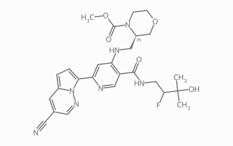 COC(=O)N1CCOC[C@H]1CNc1cc(-c2ccc3cc(C#N)cnn23)ncc1C(=O)NCC(F)C(C)(C)O